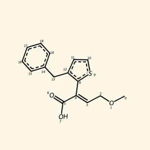 COC/C=C(/C(=O)O)c1sccc1Cc1ccccc1